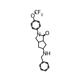 O=C1C2CC(NCc3ccccc3)CC2CN1c1ccc(OC(F)(F)F)cc1